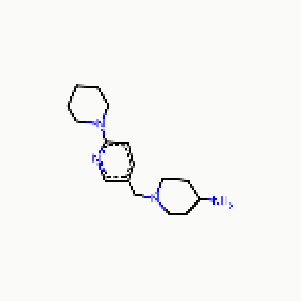 NC1CCN(Cc2ccc(N3CCCCC3)nc2)CC1